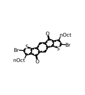 CCCCCCCCc1c(Br)sc2c1c(=O)c1cc3c(cc12)c(=O)c1c(CCCCCCCC)c(Br)sc13